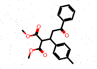 COC(=O)C(C(=O)OC)C(CC(=O)c1ccccc1)c1ccc(C)cc1